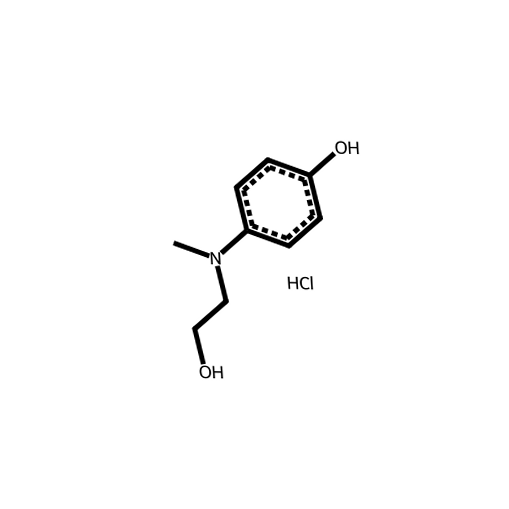 CN(CCO)c1ccc(O)cc1.Cl